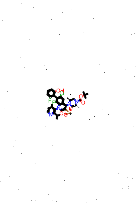 Cc1ccnc(C(C)C)c1-n1c(=O)c(S(C)(=O)=O)c(N2C[C@@H](C)N(C(=O)OC(C)(C)C)C[C@@H]2C)c2cc(Cl)c(-c3c(O)cccc3F)c(F)c21